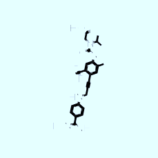 Cc1cc(C#CCNc2ccc(C(=N)N)cc2)c(C(F)(F)F)cc1NC(=O)N(CC(=O)O)C(C)C